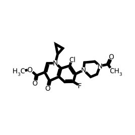 COC(=O)c1cn(C2CC2)c2c(Cl)c(N3CCN(C(C)=O)CC3)c(F)cc2c1=O